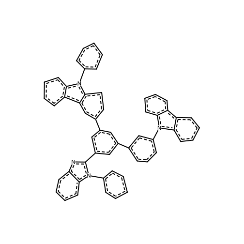 c1ccc(-n2c(-c3cc(-c4cccc(-n5c6ccccc6c6ccccc65)c4)cc(-c4ccc5c(c4)c4ccccc4n5-c4ccccc4)c3)nc3ccccc32)cc1